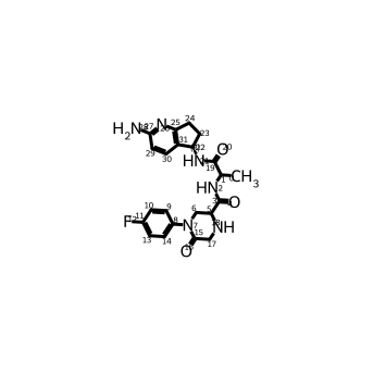 CC(NC(=O)C1CN(c2ccc(F)cc2)C(=O)CN1)C(=O)N[C@@H]1CCc2nc(N)ccc21